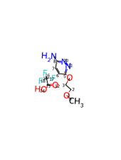 COCCOc1ccc(N)nn1.O=C(O)C(F)(F)F